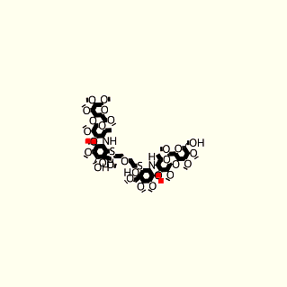 COCC1O[C@H](CO)[C@H](OC)C(OC)[C@@H]1O[C@H]1OC(C)[C@@H](N[C@H]2C(SCCOCCSC3[C@@H](N[C@H]4C(C)O[C@@H](O[C@H]5C(COC)O[C@@H](OC)[C@@H](OC)C5OC)[C@@H](OC)C4OC)[C@@H](OC)C(OC)[C@@H](CO)C3(O)COC)C(O)(COC)[C@@H](OC)C(OC)[C@H]2OC)C(OC)[C@H]1OC